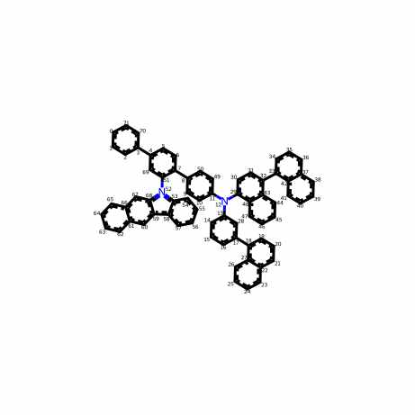 c1ccc(-c2ccc(-c3ccc(N(c4cccc(-c5cccc6ccccc56)c4)c4ccc(-c5cccc6ccccc56)c5ccccc45)cc3)c(-n3c4ccccc4c4cc5ccccc5cc43)c2)cc1